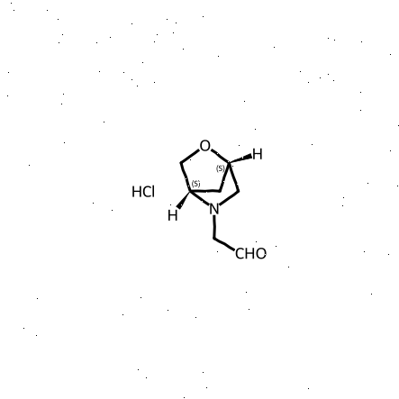 Cl.O=CCN1C[C@@H]2C[C@H]1CO2